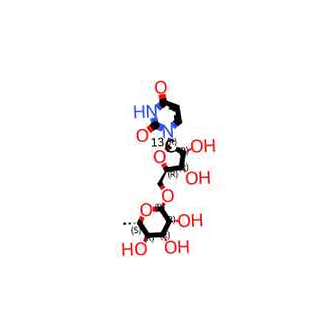 C[C@@H]1O[C@@H](OC[C@H]2O[13C@@H](n3ccc(=O)[nH]c3=O)[C@H](O)[C@@H]2O)[C@H](O)[C@H](O)[C@H]1O